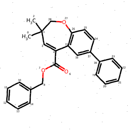 CC1(C)C=C(C(=O)OCc2ccccc2)c2cc(-c3ccccc3)ccc2OC1